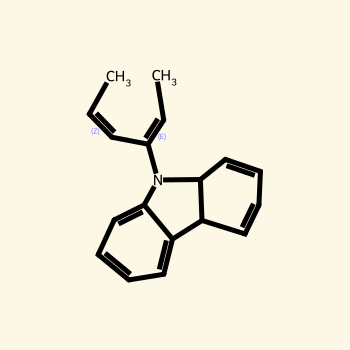 C/C=C\C(=C/C)N1c2ccccc2C2C=CC=CC21